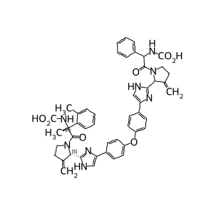 C=C1CCN(C(=O)C(NC(=O)O)c2ccccc2)C1c1nc(-c2ccc(Oc3ccc(-c4c[nH]c([C@@H]5C(=C)CCN5C(=O)[C@](C)(NC(=O)O)c5ccccc5C)n4)cc3)cc2)c[nH]1